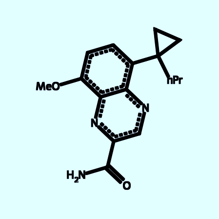 CCCC1(c2ccc(OC)c3nc(C(N)=O)cnc23)CC1